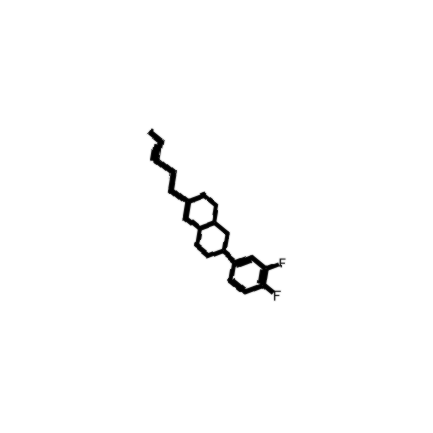 CC=CCCC1CCC2CC(c3ccc(F)c(F)c3)CCC2C1